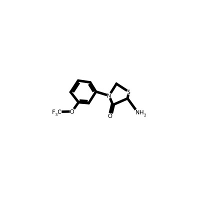 NC1SCN(c2cccc(OC(F)(F)F)c2)C1=O